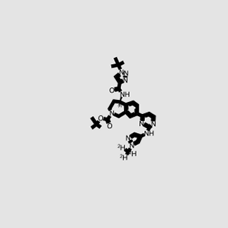 [2H]C([2H])([2H])n1cc(Nc2nccc(-c3ccc4c(c3)CN(C(=O)OC(C)(C)C)CC[C@H]4NC(=O)c3cn(C(C)(C)C)nn3)n2)cn1